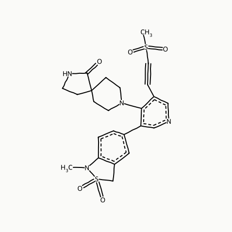 CN1c2ccc(-c3cncc(C#CS(C)(=O)=O)c3N3CCC4(CCNC4=O)CC3)cc2CS1(=O)=O